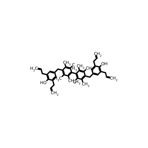 C=CCc1cc(Cc2c(C)c(C)c(-c3c(C)c(C)c(Cc4cc(CC=C)c(O)c(CC=C)c4)c(C)c3C)c(C)c2C)cc(CC=C)c1O